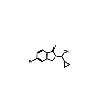 O=C1c2ccc(Br)cc2CN1C(O)C1CC1